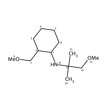 COCC1CCCCC1NC(C)(C)COC